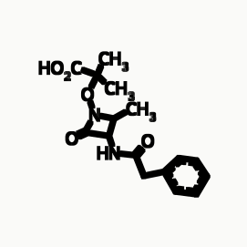 CC1C(NC(=O)Cc2ccccc2)C(=O)N1OC(C)(C)C(=O)O